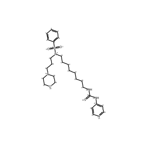 O=S(=O)(c1ccccc1)N(CCCCCCCCNC(=S)Nc1ccncc1)CCCN1CCOCC1